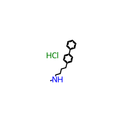 CNCCCCc1ccc(-c2ccccc2)cc1.Cl